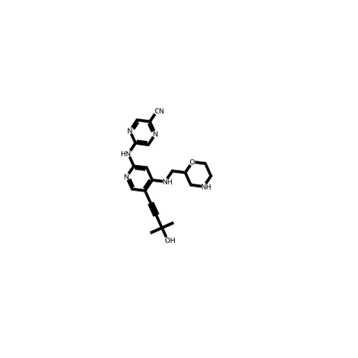 CC(C)(O)C#Cc1cnc(Nc2cnc(C#N)cn2)cc1NCC1CNCCO1